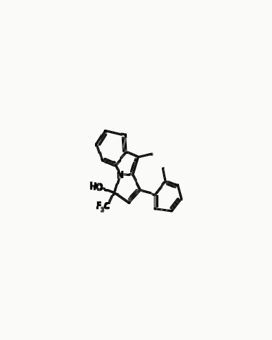 Cc1ccccc1C1=CC(O)(C(F)(F)F)n2c1c(C)c1ccccc12